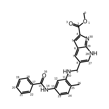 COC(=O)c1cc2cc(CNc3cc(NC(=O)c4ccccc4)ccc3C)c[nH]c-2n1